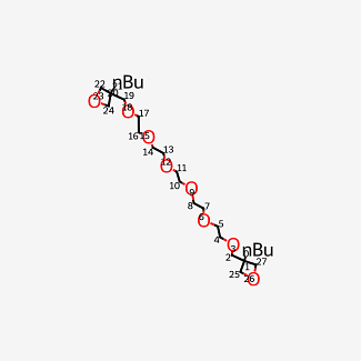 CCCCC1(COCCOCCOCCOCCOCCOCC2(CCCC)COC2)COC1